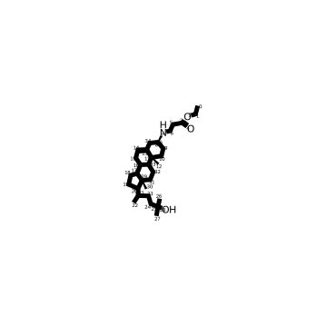 CCOC(=O)CCN[C@H]1CC[C@@]2(C)C(=CCC3C4CCC(C(C)CCC(C)(C)O)[C@@]4(C)CCC32)C1